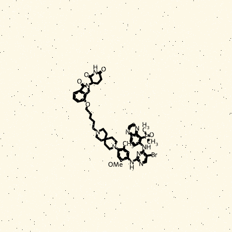 COc1cc(N2CCC3(CCN(CCCCCOc4cccc5c4CN(C4CCC(=O)NC4=O)C5=O)CC3)CC2)c(C)cc1Nc1ncc(Br)c(Nc2ccc3nccnc3c2P(C)(C)=O)n1